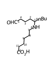 CCCCC(CCCC=O)NCCCCCC(=O)O